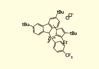 [CH2]=[Zr+2]([C]1=C(CC)C(C(C)(C)C)=CC1C)([c]1ccc(C(F)(F)F)cc1)[CH]1c2ccc(C(C)(C)C)cc2-c2cc(C(C)(C)C)ccc21.[Cl-].[Cl-]